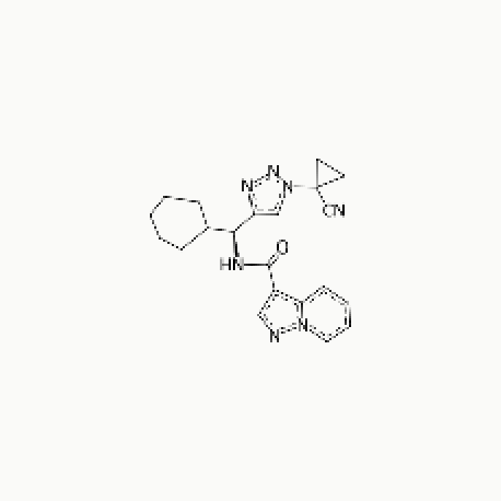 N#CC1(n2cc([C@@H](NC(=O)c3cnn4ccccc34)C3CCCCC3)nn2)CC1